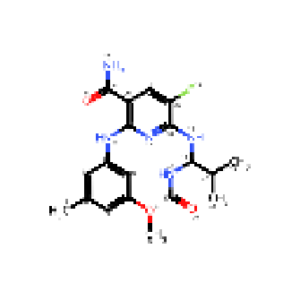 COc1cc(C)cc(Nc2nc(NC(NC=O)C(C)C)c(F)cc2C(N)=O)c1